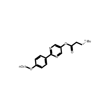 CCCCCCCCOc1ccc(-c2ncc(OC(=O)CC[C@@H](C)CC)cn2)cc1